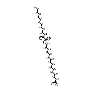 CCCCCCCCCCCCC(=O)C(=O)OCCCCCCCCCCCCCCCC(C)C